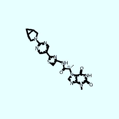 C[C@@H](C(=O)Nc1csc(-c2cnc(N3CC4CC4C3)nc2)n1)n1cnc2c1c(=O)[nH]c(=O)n2C